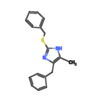 Cc1[nH]c(SCc2ccccc2)nc1Cc1ccccc1